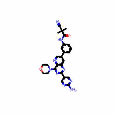 CC(C)(C#N)C(=O)Nc1cccc(-c2cnc3c(N4CCOCC4)nc(-c4cnc(N)nc4)nc3c2)c1